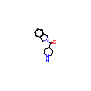 O=C(C1CCNCC1)N1Cc2ccccc2C1